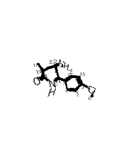 COc1ccc(C2NC(=O)C(C)C2N)cc1